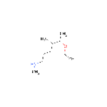 CCOC(C)C(C)CCCNC